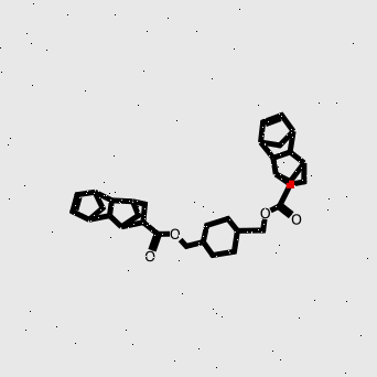 O=C(OCC1CCC(COC(=O)C2CC3CC2C2C4C=CC(C4)C32)CC1)C1CC2CC1C1C3C=CC(C3)C21